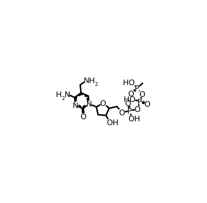 CP(=O)(O)OP(=O)(O)OP(=O)(O)OCC1OC(n2cc(CN)c(N)nc2=O)CC1O